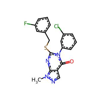 Cn1ncc2c(=O)n(-c3cccc(Cl)c3)c(SCc3cccc(F)c3)nc21